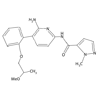 COC(C)COc1ccccc1-c1ccc(NC(=O)c2ccnn2C)nc1N